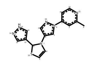 Cc1cc(-n2cc(N3C=CSC3c3cn[nH]c3)cn2)ccn1